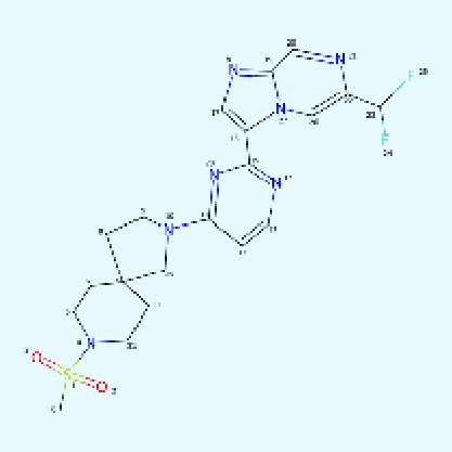 CS(=O)(=O)N1CCC2(CCN(c3ccnc(-c4cnc5cnc(C(F)F)cn45)n3)C2)CC1